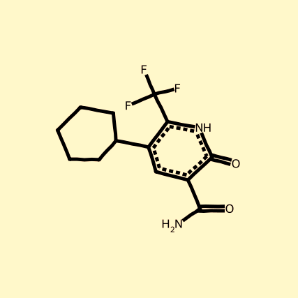 NC(=O)c1cc(C2CCCCC2)c(C(F)(F)F)[nH]c1=O